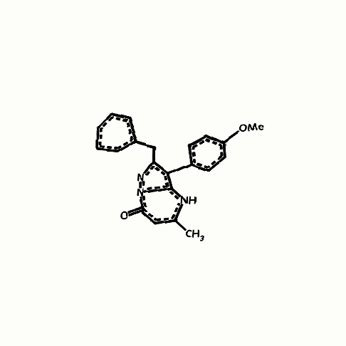 COc1ccc(-c2c(Cc3ccccc3)nn3c(=O)cc(C)[nH]c23)cc1